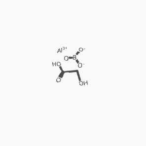 O=C(O)CO.[Al+3].[O-]B([O-])[O-]